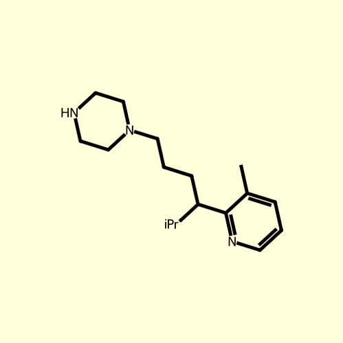 Cc1cccnc1C(CCCN1CCNCC1)C(C)C